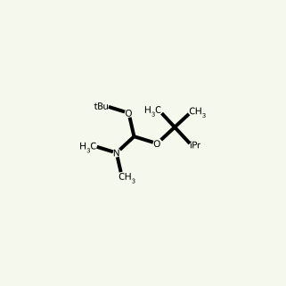 CC(C)C(C)(C)OC(OC(C)(C)C)N(C)C